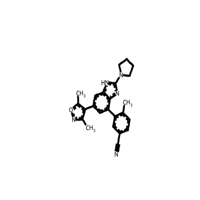 Cc1ccc(C#N)cc1-c1cc(-c2c(C)noc2C)cc2[nH]c(N3CCCC3)nc12